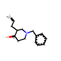 C=CCC1CN(Cc2ccccc2)CCC1=O